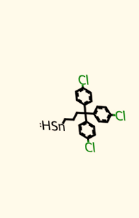 Clc1ccc(C(CC[CH2][SnH])(c2ccc(Cl)cc2)c2ccc(Cl)cc2)cc1